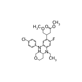 CCN(c1cc(F)c(C(COC)CC(=O)OC)cc1Nc1ccc(Cl)cc1)C1CCOCC1